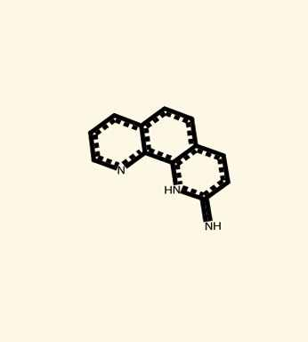 N=c1ccc2ccc3cccnc3c2[nH]1